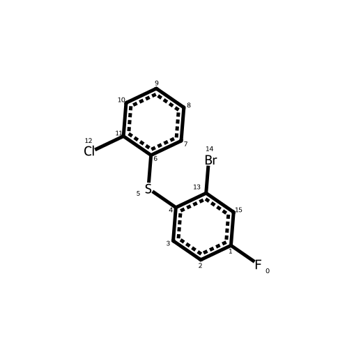 Fc1ccc(Sc2ccccc2Cl)c(Br)c1